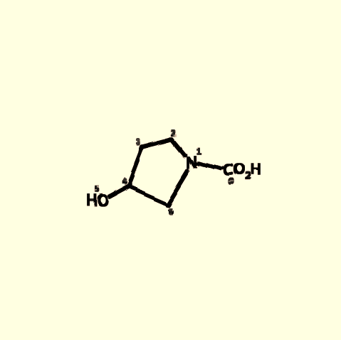 O=C(O)N1CCC(O)C1